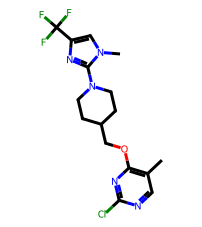 Cc1cnc(Cl)nc1OCC1CCN(c2nc(C(F)(F)F)cn2C)CC1